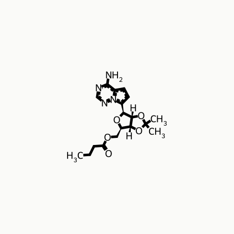 CCCC(=O)OC[C@H]1O[C@@H](c2ccc3c(N)ncnn23)[C@@H]2OC(C)(C)O[C@@H]21